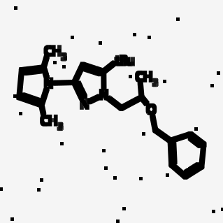 Cc1ccc(C)n1-c1cc(C(C)(C)C)n(CC(C)OCc2ccccc2)n1